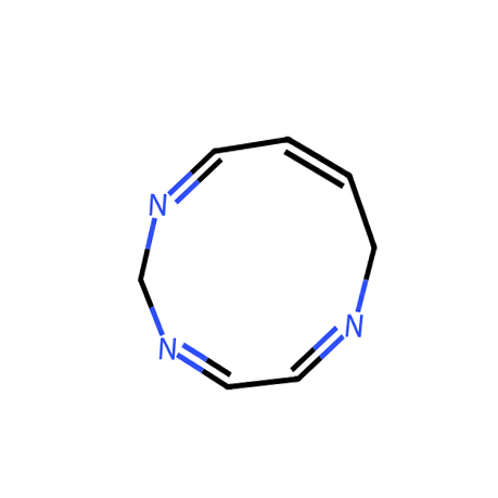 C1=C\C/N=C\C=N/C\N=C/1